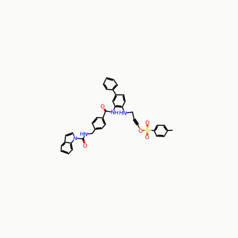 Cc1ccc(S(=O)(=O)OC#CCNc2ccc(-c3ccccc3)cc2NC(=O)c2ccc(CNC(=O)n3ccc4ccccc43)cc2)cc1